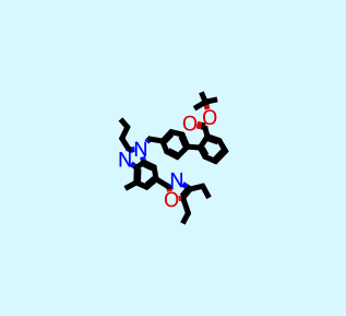 CCCc1nc2c(C)cc(-c3nc(CC)c(CC)o3)cc2n1Cc1ccc(-c2ccccc2C(=O)OC(C)(C)C)cc1